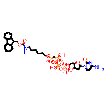 C[C@]1(COP(=O)(O)OP(=O)(O)OP(=O)(O)CP(=O)(O)OCCCCCCNC(=O)OCC2c3ccccc3-c3ccccc32)O[C@@H](n2ccc(N)nc2=O)CC1O